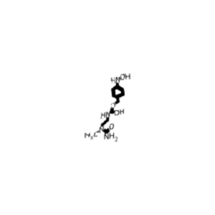 CN(CCNC(O)OCc1ccc(NO)cc1)C(N)=O